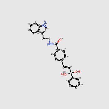 O=C(NCCc1c[nH]c2ccccc12)c1ccc(/C=C/[Si](O)(O)c2ccccc2)cc1